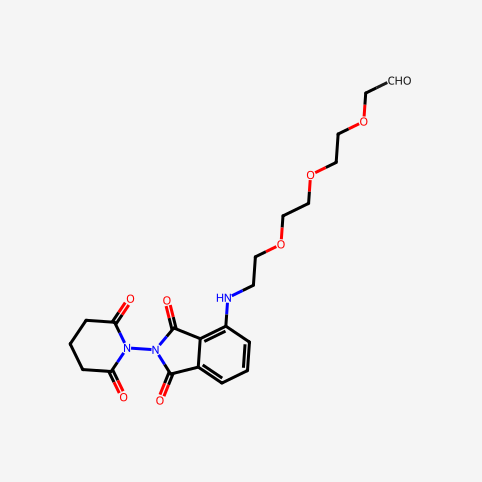 O=CCOCCOCCOCCNc1cccc2c1C(=O)N(N1C(=O)CCCC1=O)C2=O